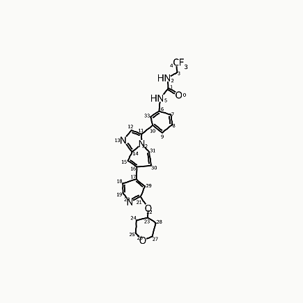 O=C(NCC(F)(F)F)Nc1cccc(-c2cnc3cc(-c4ccnc(OC5CCOCC5)c4)ccn23)c1